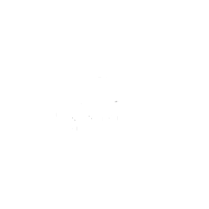 CN(C)C1=N[C@@H]2[C@@H](O)[C@H](OCc3ccccc3)[C@@H](CO)O[C@@H]2S1